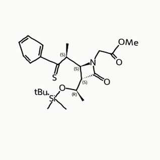 COC(=O)CN1C(=O)[C@H]([C@@H](C)O[Si](C)(C)C(C)(C)C)[C@H]1[C@H](C)C(=S)c1ccccc1